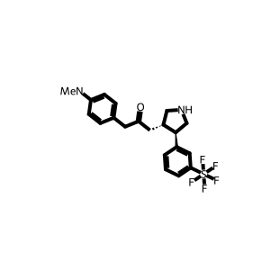 CNc1ccc(CC(=O)C[C@@H]2CNC[C@H]2c2cccc(S(F)(F)(F)(F)F)c2)cc1